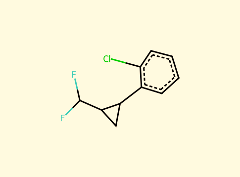 FC(F)C1CC1c1ccccc1Cl